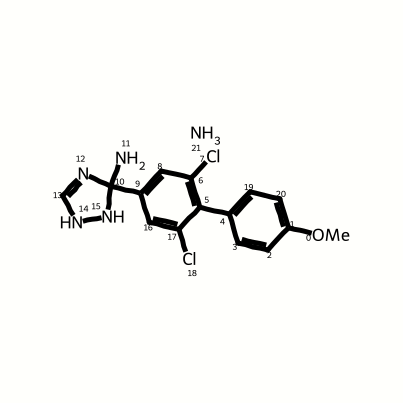 COc1ccc(-c2c(Cl)cc(C3(N)N=CNN3)cc2Cl)cc1.N